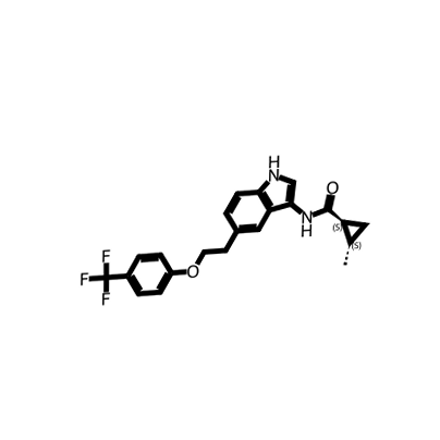 C[C@H]1C[C@@H]1C(=O)Nc1c[nH]c2ccc(CCOc3ccc(C(F)(F)F)cc3)cc12